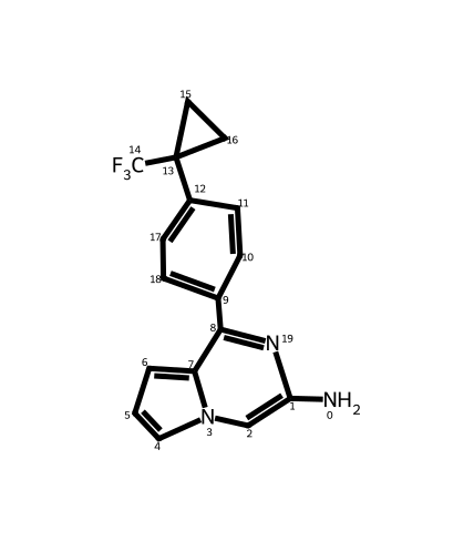 Nc1cn2cccc2c(-c2ccc(C3(C(F)(F)F)CC3)cc2)n1